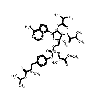 COC(=O)[C@H](C)N[P@](=O)(OC[C@@]1(C)O[C@@H](c2ccc3c(N)ncnn23)[C@H](OC(=O)C(C)C)[C@@H]1OC(=O)C(C)C)Oc1ccc(C[C@H](N)C(=O)OC(C)C)cc1